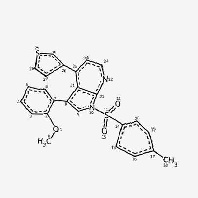 COc1ccccc1-c1cn(S(=O)(=O)c2ccc(C)cc2)c2nccc(-c3ccsc3)c12